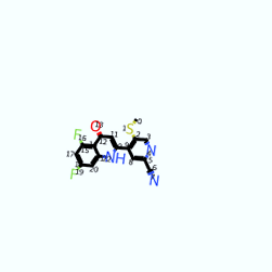 CSc1cnc(C#N)cc1-c1cc(=O)c2c(F)cc(F)cc2[nH]1